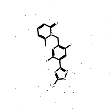 Cc1cccc(=O)n1Cc1cc(F)c(-c2noc(C(F)(F)F)n2)cc1F